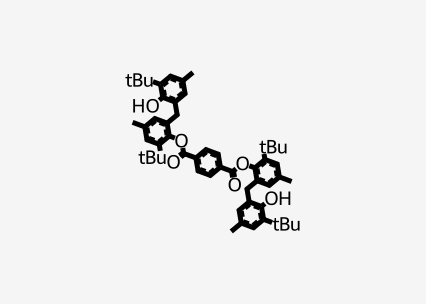 Cc1cc(Cc2cc(C)cc(C(C)(C)C)c2OC(=O)c2ccc(C(=O)Oc3c(Cc4cc(C)cc(C(C)(C)C)c4O)cc(C)cc3C(C)(C)C)cc2)c(O)c(C(C)(C)C)c1